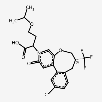 CC(C)OCCC(C(=O)O)n1cc2c(cc1=O)-c1cc(Cl)ccc1C[C@@H](C(F)(F)F)CO2